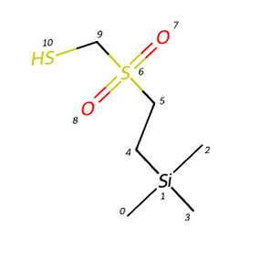 C[Si](C)(C)CCS(=O)(=O)CS